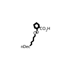 CCCCCCCCCCCCCCCOOc1ccccc1C(=O)O